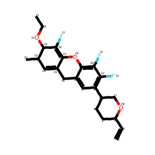 C=CC1CCC(c2cc3c(c(F)c2F)OC2=C(F)C(OCC)C(C)C=C2C3)CO1